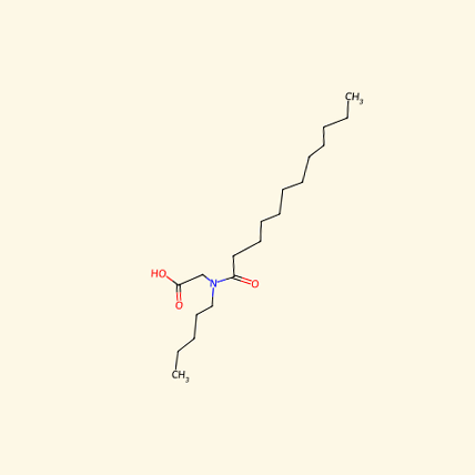 CCCCCCCCCCCC(=O)N(CCCCC)CC(=O)O